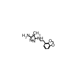 Cn1c(N)nnc1NCCc1cccc2c1OCO2